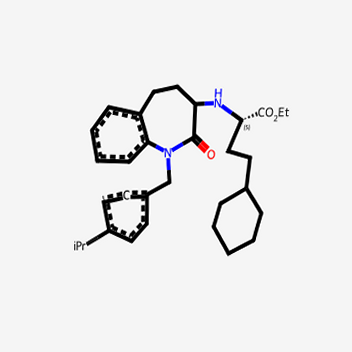 CCOC(=O)[C@H](CCC1CCCCC1)NC1CCc2ccccc2N(Cc2ccc(C(C)C)cc2)C1=O